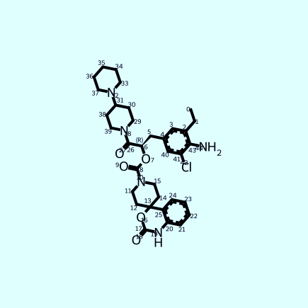 CCc1cc(C[C@@H](OC(=O)N2CCC3(CC2)OC(=O)Nc2ccccc23)C(=O)N2CCC(N3CCCCC3)CC2)cc(Cl)c1N